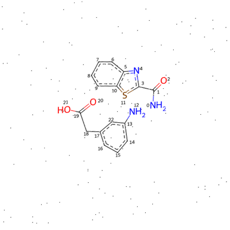 NC(=O)c1nc2ccccc2s1.Nc1cccc(CC(=O)O)c1